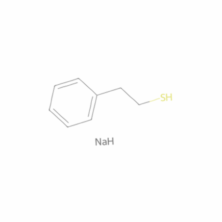 SCCc1ccccc1.[NaH]